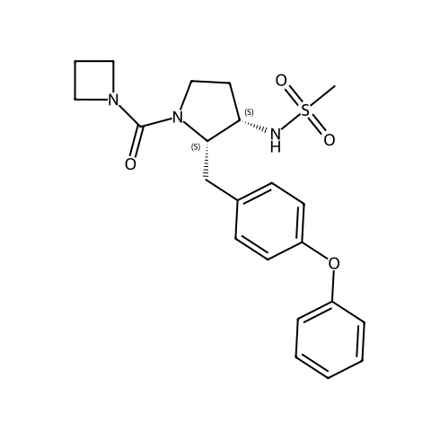 CS(=O)(=O)N[C@H]1CCN(C(=O)N2CCC2)[C@H]1Cc1ccc(Oc2ccccc2)cc1